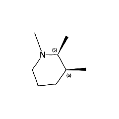 C[C@H]1CCCN(C)[C@H]1C